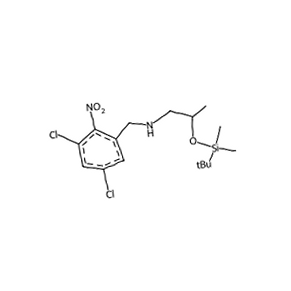 CC(CNCc1cc(Cl)cc(Cl)c1[N+](=O)[O-])O[Si](C)(C)C(C)(C)C